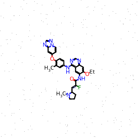 CCOc1cc2ncnc(Nc3ccc(Oc4ccn5ncnc5c4)c(C)c3)c2cc1NC(=O)/C(F)=C/C1CCCN1C